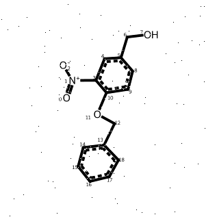 O=[N+]([O-])c1cc(CO)ccc1OCc1ccccc1